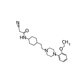 CCOc1ccccc1N1CCN(CCC2CCC(NC(=O)CC#N)CC2)CC1